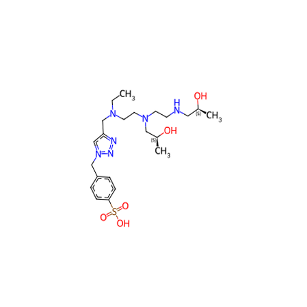 CCN(CCN(CCNC[C@H](C)O)C[C@H](C)O)Cc1cn(Cc2ccc(S(=O)(=O)O)cc2)nn1